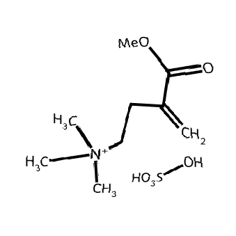 C=C(CC[N+](C)(C)C)C(=O)OC.O=S(=O)(O)O